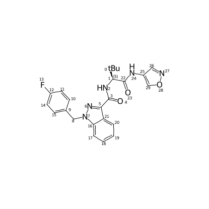 CC(C)(C)[C@H](NC(=O)c1nn(Cc2ccc(F)cc2)c2ccccc12)C(=O)Nc1cnoc1